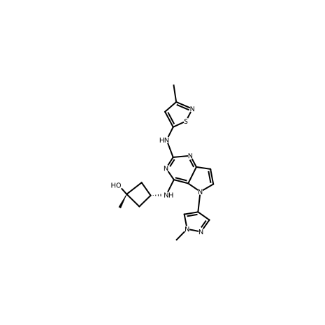 Cc1cc(Nc2nc(N[C@H]3C[C@@](C)(O)C3)c3c(ccn3-c3cnn(C)c3)n2)sn1